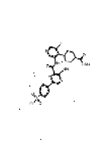 COC(=O)C1CCN(c2c(F)cncc2NC(=O)c2nc(-c3ccc(S(=O)(=O)C(C)C)cc3)cnc2N)CC1